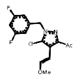 COC=Cc1c(C(C)=O)nn(Cc2cc(F)cc(F)c2)c1Cl